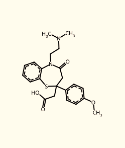 COc1ccc(C2(CC(=O)O)CC(=O)N(CCN(C)C)c3ccccc3S2)cc1